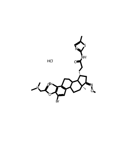 CO/N=C1/C[C@@H](CCC(=O)Nc2ncc(C)s2)C2C3CCc4c(cc(Br)c(OC(=O)CN(C)C)c4Br)C3CC[C@]12C.Cl